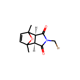 CC12C=CC(C)(O1)[C@H]1C(=O)N(CBr)C(=O)[C@H]12